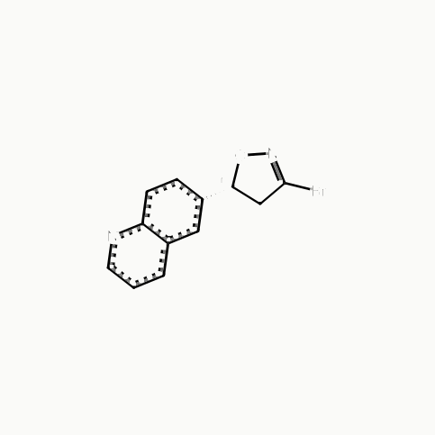 BrC1=NO[C@@H](c2ccc3ncccc3c2)C1